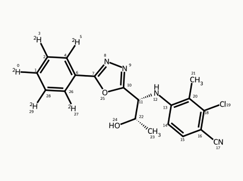 [2H]c1c([2H])c([2H])c(-c2nnc([C@H](Nc3ccc(C#N)c(Cl)c3C)[C@H](C)O)o2)c([2H])c1[2H]